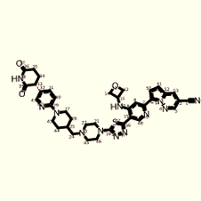 N#Cc1cnn2c(-c3cc(NC4COC4)c(-c4nnc(N5CCN(CC6CCN(c7ccc([C@H]8CCC(=O)NC8=O)cn7)CC6)CC5)s4)cn3)ccc2c1